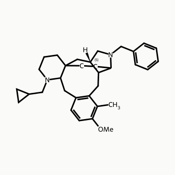 COc1ccc2c(c1C)CC1C3CCC4(CCCN(CC5CC5)C4C2)C[C@@H]1CN3Cc1ccccc1